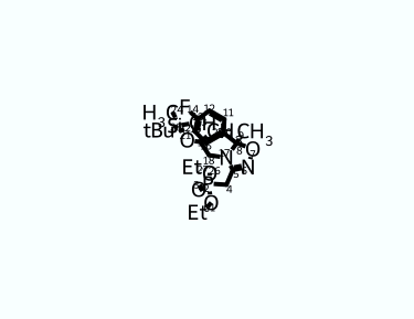 CCOP(=O)(CC1=NOC(C)(c2ccc(F)cc2)N1CC(C)O[Si](C)(C)C(C)(C)C)OCC